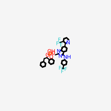 O=P(O)(OCc1nc(Nc2ccc(C(F)(F)F)cc2)c2ccc(-c3ncccc3C(F)(F)F)cc2n1)OC(Cc1ccccc1)c1ccccc1